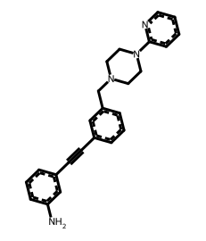 Nc1cccc(C#Cc2cccc(CN3CCN(c4ccccn4)CC3)c2)c1